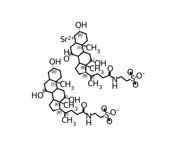 C[C@H](CCC(=O)NCCS(=O)(=O)[O-])[C@H]1CCC2C3C(C[C@H](O)[C@@]21C)[C@@]1(C)CC[C@@H](O)CC1C[C@H]3O.C[C@H](CCC(=O)NCCS(=O)(=O)[O-])[C@H]1CCC2C3C(C[C@H](O)[C@@]21C)[C@@]1(C)CC[C@@H](O)CC1C[C@H]3O.[Sr+2]